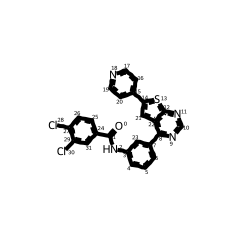 O=C(Nc1cccc(-c2ncnc3sc(-c4ccncc4)cc23)c1)c1ccc(Cl)c(Cl)c1